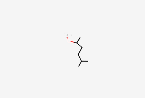 CC(C)CCC(C)O[SiH3]